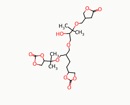 CC(C)(OCC1COC(=O)C1)C(O)COCC(CCC1COC(=O)O1)COC(C)(C)C1COC(=O)O1